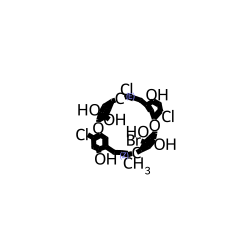 C/C1=C/Cc2cc(c(Cl)cc2O)Oc2c(O)cc(cc2O)C/C(Cl)=C\Cc2cc(c(Cl)cc2O)Oc2c(O)cc(c(Br)c2O)C1